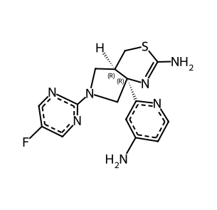 NC1=N[C@@]2(c3cc(N)ccn3)CN(c3ncc(F)cn3)C[C@H]2CS1